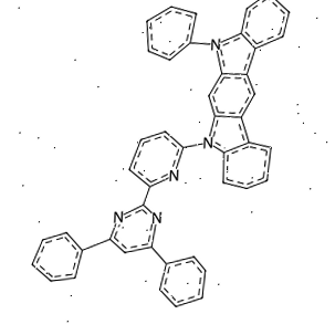 c1ccc(-c2cc(-c3ccccc3)nc(-c3cccc(-n4c5ccccc5c5cc6c7ccccc7n(-c7ccccc7)c6cc54)n3)n2)cc1